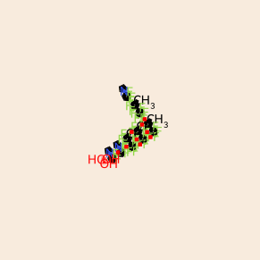 Cc1cc(-c2c(F)c(F)c(F)c(F)c2F)c(F)c(F)c1F.Cc1cc(-c2c(F)c(F)c(F)c(F)c2F)c(F)c(F)c1F.Cc1cc(-c2c(F)c(F)c(F)c(F)c2F)c(F)c(F)c1F.Cc1cc(-c2c(F)c(F)c(F)c(F)c2F)c(F)c(F)c1F.Fc1cccc(N2CCCC2)c1F.Fc1cccc(N2CCCC2)c1F.Fc1cccc(N2CCCC2)c1F.OB(O)O